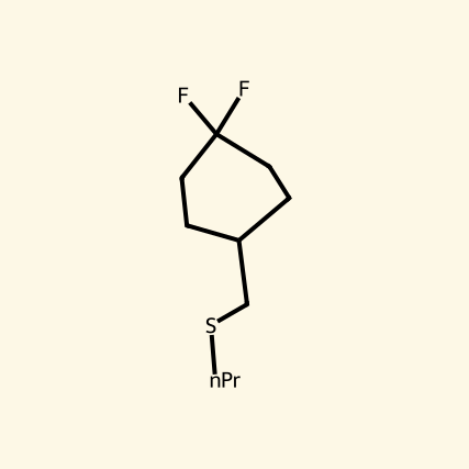 [CH2]CCSCC1CCC(F)(F)CC1